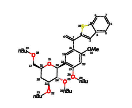 C=C(c1cc2ccccc2s1)c1cc([C@@H]2O[C@H](COCCCC)C[C@H](OCCCC)[C@H]2OCCCC)c(OCCCC)cc1OC